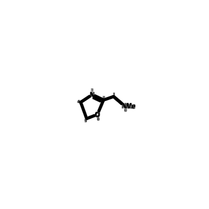 CNCC1=NCCO1